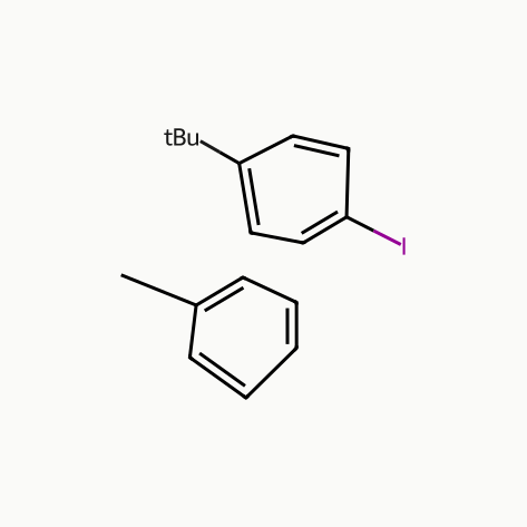 CC(C)(C)c1ccc(I)cc1.Cc1ccccc1